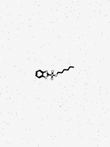 CCCCCCOS(=O)(=O)c1nc2ccccc2o1